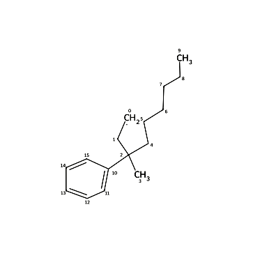 [CH2]CC(C)(CCCCCC)c1ccccc1